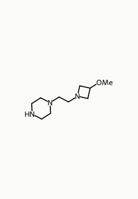 COC1CN(CCN2CCNCC2)C1